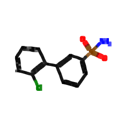 NS(=O)(=O)c1cccc(-c2ccc[c]c2Cl)c1